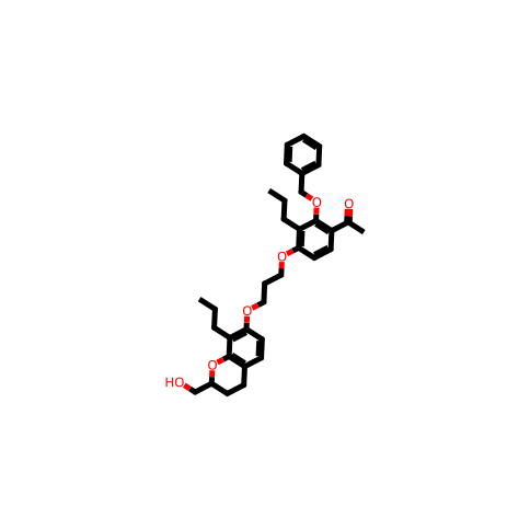 CCCc1c(OCCCOc2ccc(C(C)=O)c(OCc3ccccc3)c2CCC)ccc2c1OC(CO)CC2